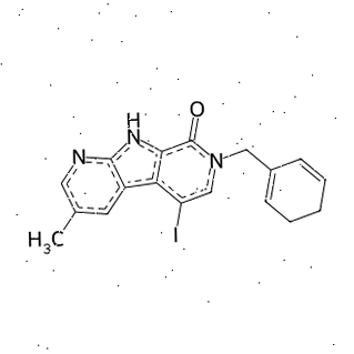 Cc1cnc2[nH]c3c(=O)n(CC4=CCCC=C4)cc(I)c3c2c1